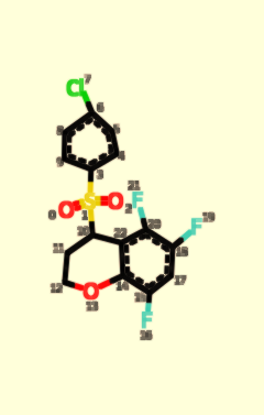 O=S(=O)(c1ccc(Cl)cc1)C1CCOc2c(F)cc(F)c(F)c21